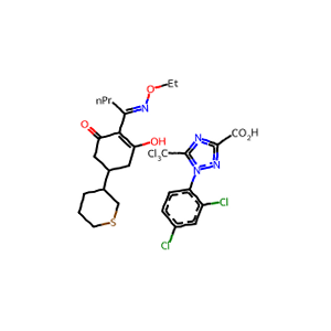 CCC/C(=N\OCC)C1=C(O)CC(C2CCCSC2)CC1=O.O=C(O)c1nc(C(Cl)(Cl)Cl)n(-c2ccc(Cl)cc2Cl)n1